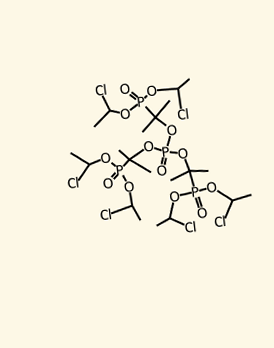 CC(Cl)OP(=O)(OC(C)Cl)C(C)(C)OP(=O)(OC(C)(C)P(=O)(OC(C)Cl)OC(C)Cl)OC(C)(C)P(=O)(OC(C)Cl)OC(C)Cl